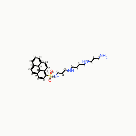 NCCCNCCCCNCCCNS(=O)(=O)C1=C2C=CC3=CC=CC4=CC=C(C=C1)C2C34